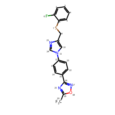 Fc1ccccc1SCc1cn(-c2ccc(-c3noc(C(F)(F)F)n3)cc2)cn1